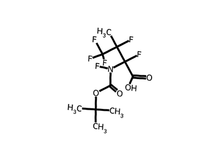 CC(C)(C)OC(=O)N(F)C(F)(C(=O)O)C(C)(F)C(F)(F)F